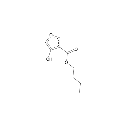 CCCCOC(=O)c1cocc1O